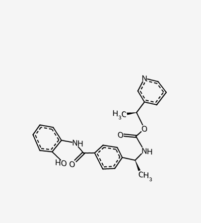 C[C@H](NC(=O)O[C@@H](C)c1cccnc1)c1ccc(C(=O)Nc2ccccc2O)cc1